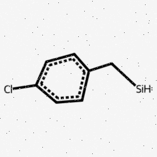 [SiH]Cc1ccc(Cl)cc1